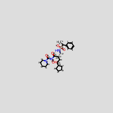 CC(c1ccccc1)S(=O)(=O)NC[C@H](CCC1CCCC1)C(=O)N(O)C(=O)N1CCCCC1